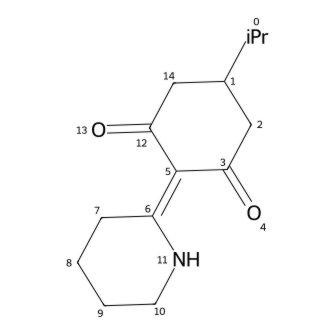 CC(C)C1CC(=O)C(=C2CCCCN2)C(=O)C1